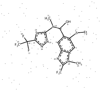 CCSc1cc2c(cc1C(O)N(C)c1nnc(C(F)(F)C(F)(F)F)s1)nc(C(F)(F)F)n2C